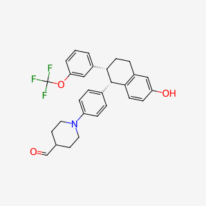 O=CC1CCN(c2ccc([C@H]3c4ccc(O)cc4CC[C@H]3c3cccc(OC(F)(F)F)c3)cc2)CC1